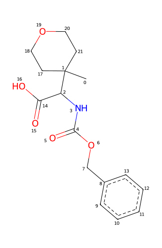 CC1(C(NC(=O)OCc2ccccc2)C(=O)O)CCOCC1